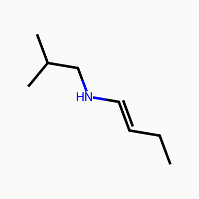 CC/C=C/NCC(C)C